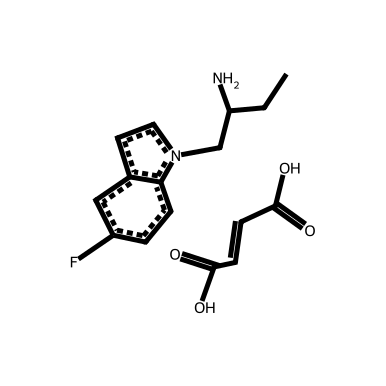 CCC(N)Cn1ccc2cc(F)ccc21.O=C(O)C=CC(=O)O